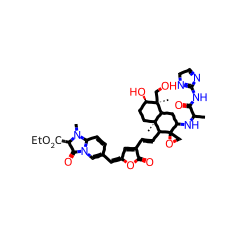 CCOC(=O)C1C(=O)N2C=C(/C=C3C=C(/C=C/C4C5(CO5)C(NC(C)C(=O)NC5=NCC=N5)CC5[C@]4(C)CC[C@@H](O)[C@@]5(C)CO)C(=O)O\3)C=CC2N1C